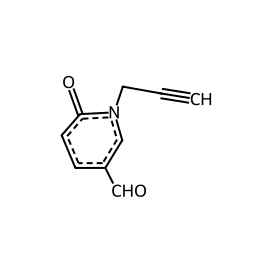 C#CCn1cc(C=O)ccc1=O